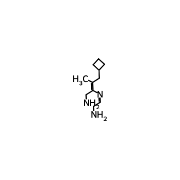 C/C(CC1CCC1)=C(CN)/N=C\CN